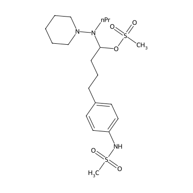 CCCN(C(CCCc1ccc(NS(C)(=O)=O)cc1)OS(C)(=O)=O)N1CCCCC1